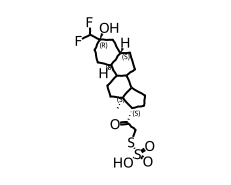 C[C@]12CCC3C(CC[C@H]4C[C@@](O)(C(F)F)CC[C@H]34)C1CC[C@@H]2C(=O)CSS(=O)(=O)O